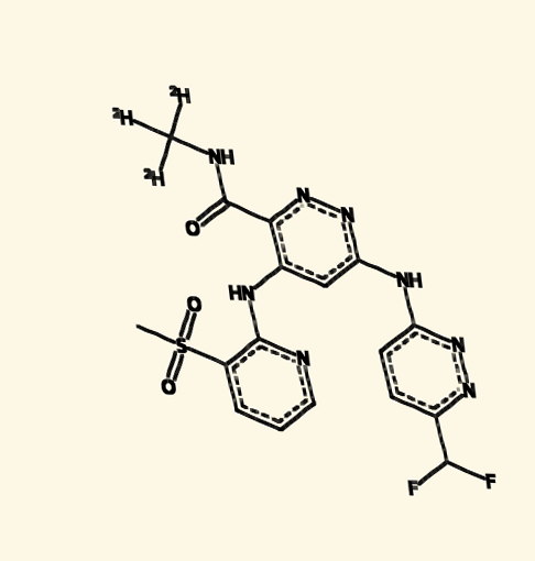 [2H]C([2H])([2H])NC(=O)c1nnc(Nc2ccc(C(F)F)nn2)cc1Nc1ncccc1S(C)(=O)=O